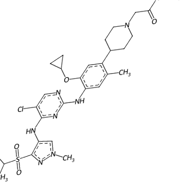 Cc1cc(Nc2ncc(Cl)c(Nc3cn(C)nc3S(=O)(=O)C(C)C)n2)c(OC2CC2)cc1C1CCN(CC(=O)N(C)C)CC1